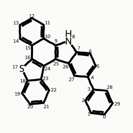 c1ccc(-c2ccc3[nH]c4c5ccccc5c5sc6ccccc6c5c4c3c2)cc1